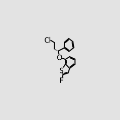 Fc1cc2cccc(O[C@H](CCCl)c3ccccc3)c2s1